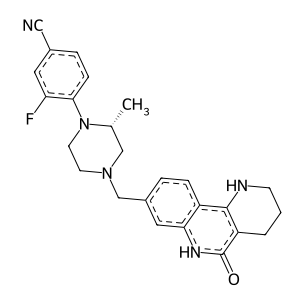 C[C@@H]1CN(Cc2ccc3c4c(c(=O)[nH]c3c2)CCCN4)CCN1c1ccc(C#N)cc1F